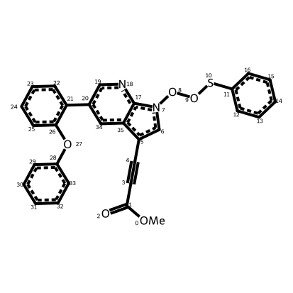 COC(=O)C#Cc1cn(OOSc2ccccc2)c2ncc(-c3ccccc3Oc3ccccc3)cc12